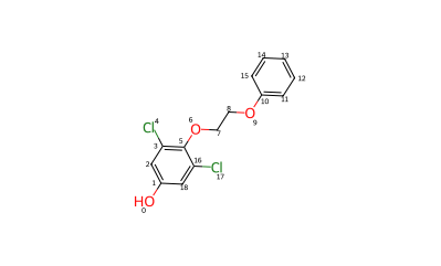 Oc1cc(Cl)c(OCCOc2ccccc2)c(Cl)c1